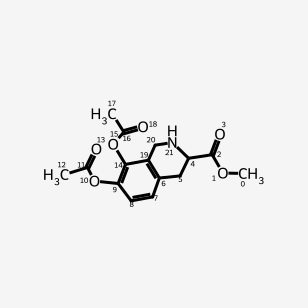 COC(=O)C1Cc2ccc(OC(C)=O)c(OC(C)=O)c2CN1